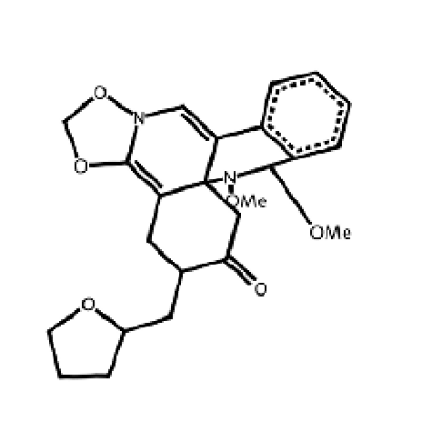 COC1c2ccccc2C2=CN3OCOC3=C3CC(CC4CCCO4)C(=O)CC23N1OC